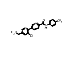 NCc1cnc(-c2ccc(C(=O)Nc3ccc(C(F)(F)F)cc3)nc2)c(Cl)c1